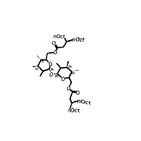 CCCCCCCCC(CCCCCCCC)CC(=O)OCC1O[C@H](O[C@H]2OC(COC(=O)CC(CCCCCCCC)CCCCCCCC)[C@@H](C)[C@H](C)C2C)C(C)[C@@H](C)[C@@H]1C